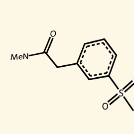 CNC(=O)Cc1cccc(S(C)(=O)=O)c1